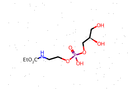 CCOC(=O)NCCOP(=O)(O)OC[C@H](O)CO